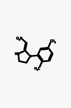 Cc1ccc(C)c(N2CCNC2=C[N+](=O)[O-])c1